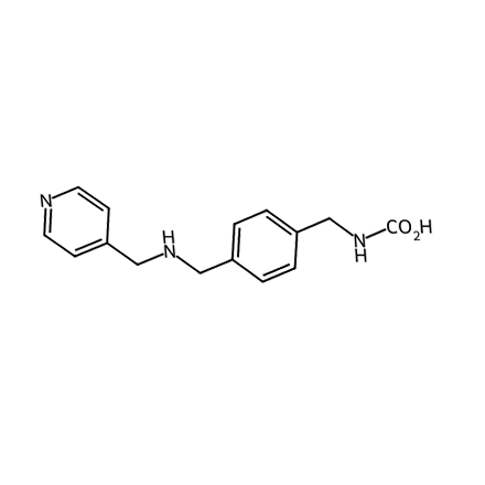 O=C(O)NCc1ccc(CNCc2ccncc2)cc1